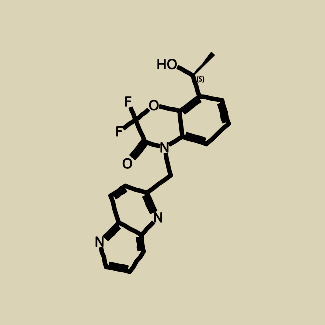 C[C@H](O)c1cccc2c1OC(F)(F)C(=O)N2Cc1ccc2ncccc2n1